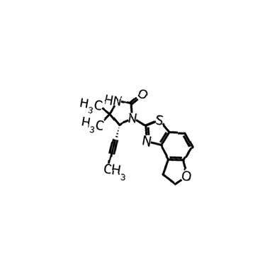 CC#C[C@H]1N(c2nc3c4c(ccc3s2)OCC4)C(=O)NC1(C)C